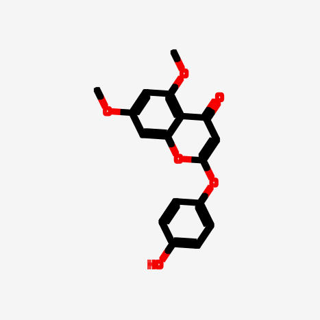 COc1cc(OC)c2c(=O)cc(Oc3ccc(O)cc3)oc2c1